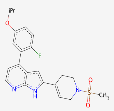 CC(C)Oc1ccc(F)c(-c2ccnc3[nH]c(C4=CCN(S(C)(=O)=O)CC4)cc23)c1